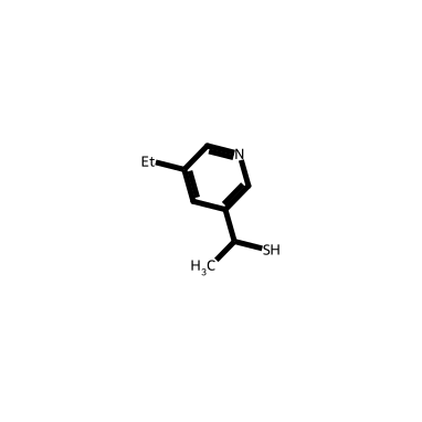 CCc1cncc(C(C)S)c1